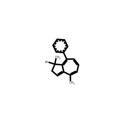 CC1=CC=CC(c2ccccc2)=C2C1=CCC2(C)C(C)C